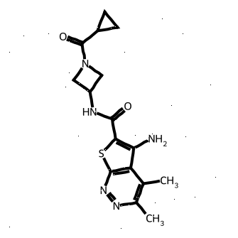 Cc1nnc2sc(C(=O)NC3CN(C(=O)C4CC4)C3)c(N)c2c1C